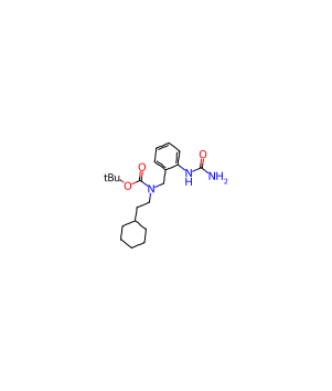 CC(C)(C)OC(=O)N(CCC1CCCCC1)Cc1ccccc1NC(N)=O